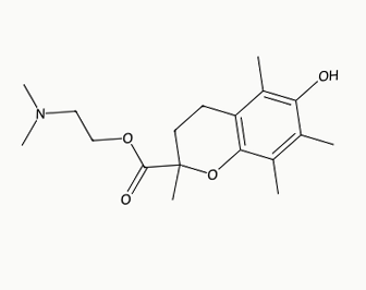 Cc1c(C)c2c(c(C)c1O)CCC(C)(C(=O)OCCN(C)C)O2